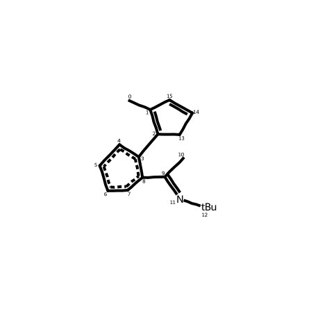 CC1=C(c2ccccc2/C(C)=N/C(C)(C)C)CC=C1